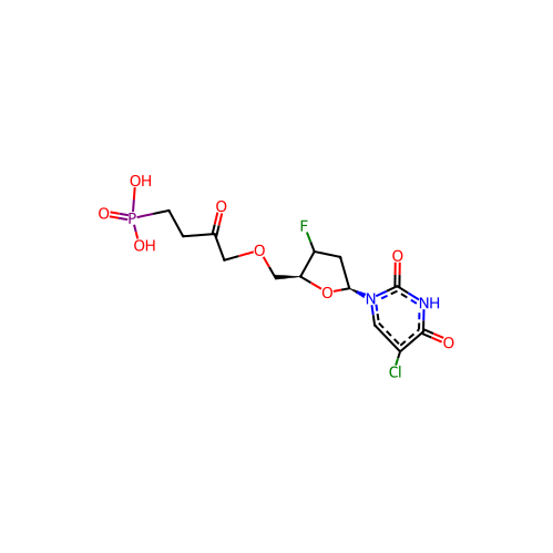 O=C(CCP(=O)(O)O)COC[C@@H]1O[C@H](n2cc(Cl)c(=O)[nH]c2=O)CC1F